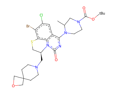 CC1CN(C(=O)OC(C)(C)C)CCN1c1nc(=O)n2c3c(c(Br)c(Cl)cc13)SC[C@@H]2CN1CCC2(CC1)COC2